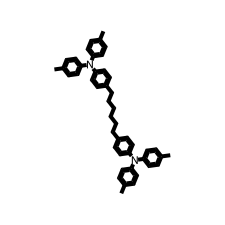 Cc1ccc(N(c2ccc(C)cc2)c2ccc(CCCCCCc3ccc(N(c4ccc(C)cc4)c4ccc(C)cc4)cc3)cc2)cc1